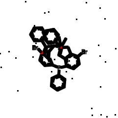 [CH3][Zr]1([CH3])[CH]2C(c3ccccc3)=Cc3c(ccc(Br)c32)P(c2ccccc2)c2ccc(Br)c3c2C=C(c2ccccc2)[CH]31